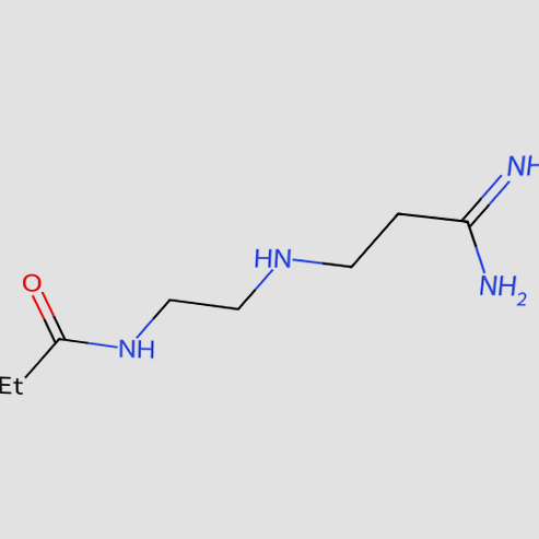 CCC(=O)NCCNCCC(=N)N